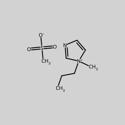 CCC[N+]1(C)C=CN=C1.CS(=O)(=O)[O-]